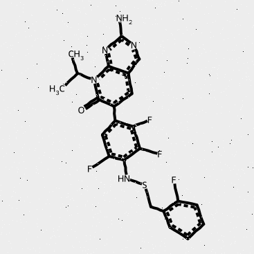 CC(C)n1c(=O)c(-c2cc(F)c(NSCc3ccccc3F)c(F)c2F)cc2cnc(N)nc21